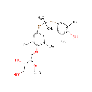 CC(C)c1cc(SC(C)(C)Sc2cc(C(C)(C)C)c(O)c(C(C)(C)C)c2)cc(C(C)(C)C)c1OCC(OC=O)[C@@H](O)CO